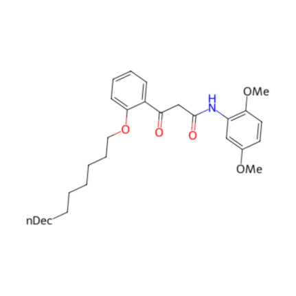 CCCCCCCCCCCCCCCCOc1ccccc1C(=O)CC(=O)Nc1cc(OC)ccc1OC